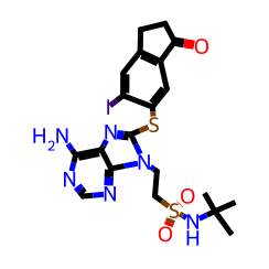 CC(C)(C)NS(=O)(=O)CCn1c(Sc2cc3c(cc2I)CCC3=O)nc2c(N)ncnc21